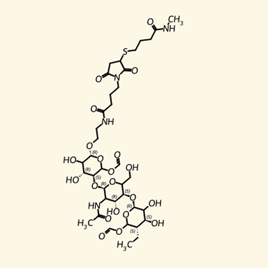 CC[C@@H]1C(OC=O)O[C@@H](O[C@@H]2C(CO)O[C@H](O[C@@H]3C(OC=O)O[C@@H](OCCNC(=O)CCCN4C(=O)CC(SCCCC(=O)NC)C4=O)C(O)[C@H]3O)C(NC(C)=O)[C@H]2O)C(O)[C@H]1O